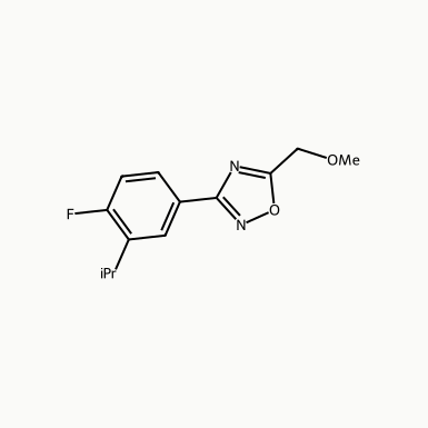 COCc1nc(-c2ccc(F)c(C(C)C)c2)no1